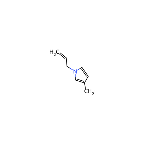 [CH2]c1ccn(CC=C)c1